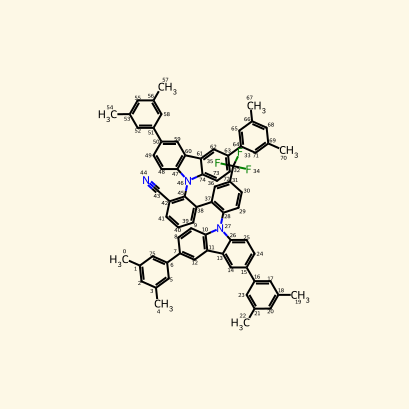 Cc1cc(C)cc(-c2ccc3c(c2)c2cc(-c4cc(C)cc(C)c4)ccc2n3-c2ccc(C(F)(F)F)cc2-c2cccc(C#N)c2-n2c3ccc(-c4cc(C)cc(C)c4)cc3c3cc(-c4cc(C)cc(C)c4)ccc32)c1